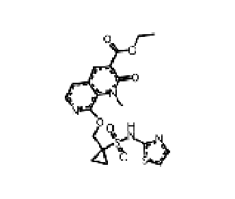 CCOC(=O)c1cc2ccnc(OCC3(S(=O)(=O)Nc4nccs4)CC3)c2n(C)c1=O